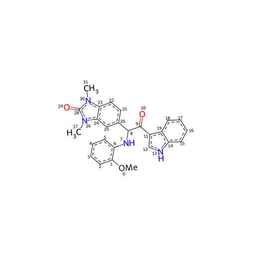 COc1ccccc1NC(C(=O)c1c[nH]c2ccccc12)c1ccc2c(c1)n(C)c(=O)n2C